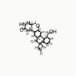 C[C@@H]1C(=O)NN=C2COc3cc(-c4ccccc4CO)c([C@@H](C)C4(C)CN(C)C4)cc3N21